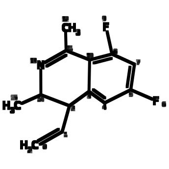 C=CC1c2cc(F)cc(F)c2C(C)=NC1C